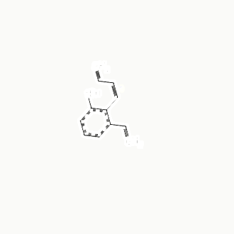 C=C/C=C\c1c(C=C)cccc1C(C)(C)C